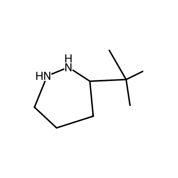 CC(C)(C)C1CCCNN1